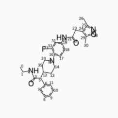 CCNC(=O)C(c1ccccc1)C1CCN(c2ccc(NC(=O)Cc3c(C)noc3C)cc2F)CC1